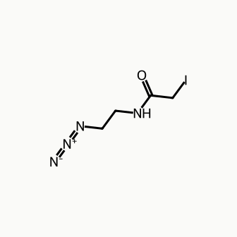 [N-]=[N+]=NCCNC(=O)CI